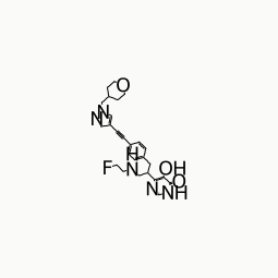 O=c1[nH]cnc(C(CNCCF)Cc2ccc(C#Cc3cnn(CC4CCOCC4)c3)cc2)c1O